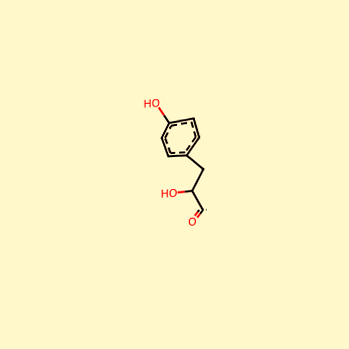 O=[C]C(O)Cc1ccc(O)cc1